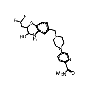 CNC(=O)c1ccc(N2CCN(Cc3ccc4c(c3)NC(O)C(CC(F)F)O4)CC2)cn1